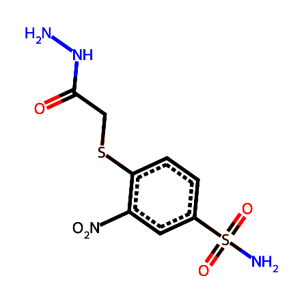 NNC(=O)CSc1ccc(S(N)(=O)=O)cc1[N+](=O)[O-]